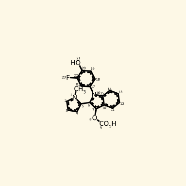 Cn1cccc1-c1c(OC(=O)O)c2ccccc2n1-c1ccc(O)c(F)c1